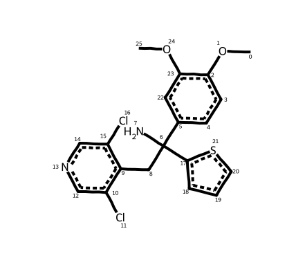 COc1ccc(C(N)(Cc2c(Cl)cncc2Cl)c2cccs2)cc1OC